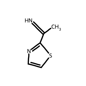 CC(=N)c1nccs1